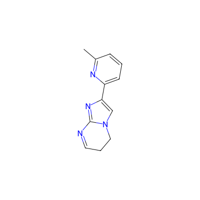 Cc1cccc(-c2cn3c(n2)N=CCC3)n1